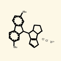 CC(C)(C)c1ccc2c(c1)C(C1C3=C(CC=C3)C3CCCC31)c1cc(C(C)(C)C)ccc1-2.[Cl-].[Cl-].[Zr+2]